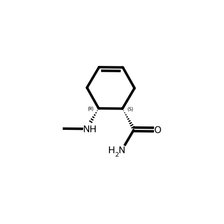 CN[C@@H]1CC=CC[C@@H]1C(N)=O